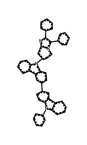 c1ccc(-c2nc3cc(-n4c5ccccc5c5cc(-c6ccc7c(c6)c6ccccc6n7-c6ccccc6)ccc54)ccn3c2-c2ccccc2)cc1